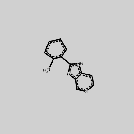 Nc1ccccc1-c1nc2cnccc2[nH]1